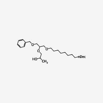 CCCCCCCCCCCCCCCCCCOCC(COCc1ccccc1)OCC(C)O